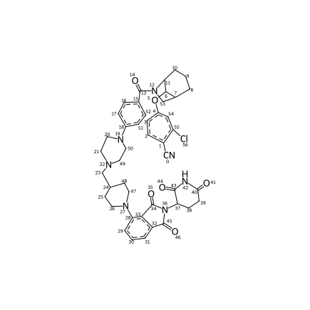 N#Cc1ccc(OC2C3CCCC2N(C(=O)c2ccc(N4CCN(CC5CCN(c6cccc7c6C(=O)N(C6CCC(=O)NC6=O)C7=O)CC5)CC4)cc2)C3)cc1Cl